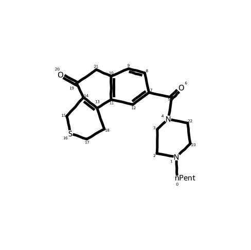 CCCCCN1CCN(C(=O)c2ccc3c(c2)C2=C(CSCC2)C(=O)C3)CC1